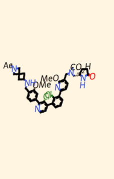 COc1cc(-c2nccc(-c3cccc(-c4ccc(CN(C[C@@H]5CCC(=O)N5)C(=O)O)c(OC)n4)c3Cl)c2Cl)ccc1CNC1CC2(C1)CN(C(C)=O)C2